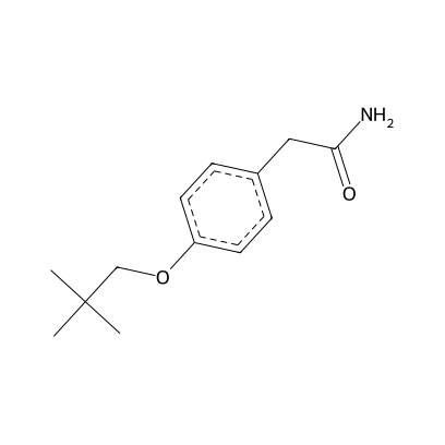 CC(C)(C)COc1ccc(CC(N)=O)cc1